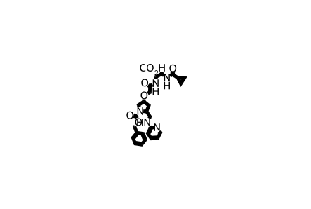 O=C(COC1CC(CNc2ccccn2)N(C(=O)OCc2ccccc2)C1)NCC(NC(=O)C1CC1)C(=O)O